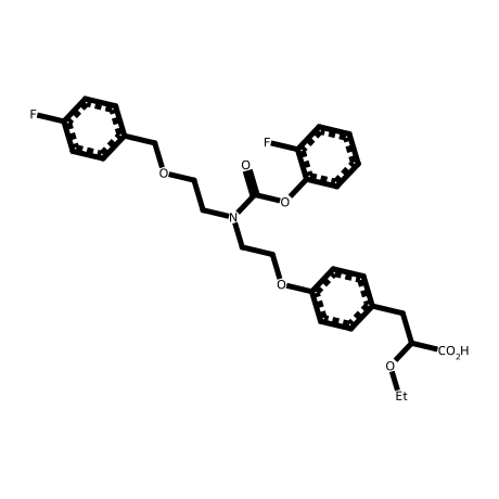 CCOC(Cc1ccc(OCCN(CCOCc2ccc(F)cc2)C(=O)Oc2ccccc2F)cc1)C(=O)O